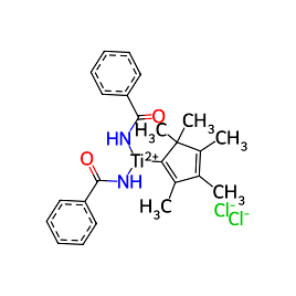 CC1=C(C)C(C)(C)[C]([Ti+2]([NH]C(=O)c2ccccc2)[NH]C(=O)c2ccccc2)=C1C.[Cl-].[Cl-]